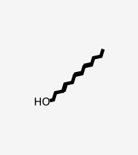 CCCC=CC=CCC=CCCO